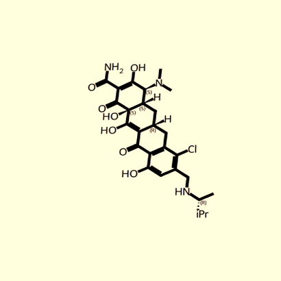 CC(C)[C@@H](C)NCc1cc(O)c2c(c1Cl)C[C@H]1C[C@H]3[C@H](N(C)C)C(O)=C(C(N)=O)C(=O)[C@@]3(O)C(O)=C1C2=O